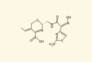 C/C=C1\CS[C@H](CNC(=O)/C(=N\O)c2csc(N)n2)N=C1C(=O)O